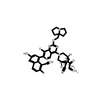 C#Cc1c(F)ccc2cc(O)cc(-c3ncc4c(N5C[C@@H]6C[C@@](C)(C#N)[C@H](C5)N6C(=O)C=C)nc(OCC56CCCN5CCC6)nc4c3F)c12